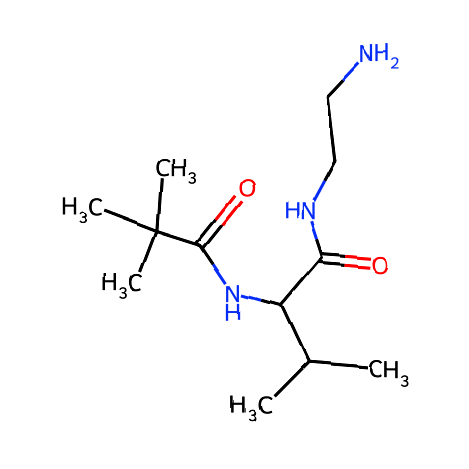 CC(C)C(NC(=O)C(C)(C)C)C(=O)NCCN